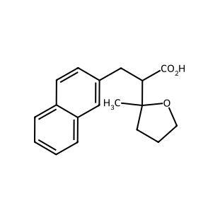 CC1(C(Cc2ccc3ccccc3c2)C(=O)O)CCCO1